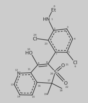 CCNc1ccc(Cl)c(C2=C(O)c3ncccc3C(C)(C)S2(=O)=O)c1Cl